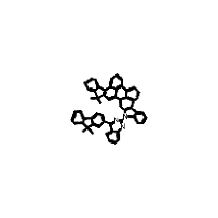 CC1(C)c2ccccc2-c2ccc(-c3nc(-n4c5ccccc5c5c6cccc7c8cccc9c%10c(cc(c(cc54)c76)c98)C(C)(C)c4ccccc4-%10)nc4ccccc34)cc21